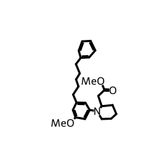 COC(=O)CC1CCCCN1c1cc(CCCCCc2ccccc2)cc(OC)c1